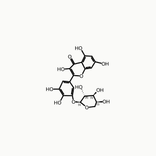 O=c1c(O)c(-c2cc(O)c(O)c(O[C@@H]3OC[C@H](O)[C@H](O)[C@H]3O)c2)oc2cc(O)cc(O)c12